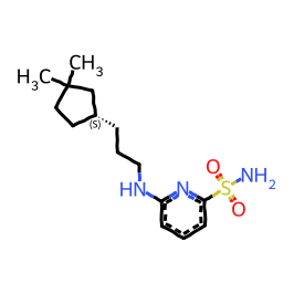 CC1(C)CC[C@@H](CCCNc2cccc(S(N)(=O)=O)n2)C1